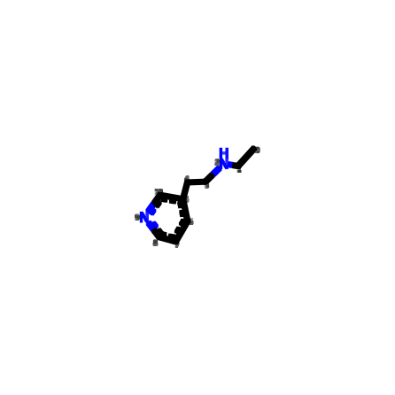 CCNCCc1cccnc1